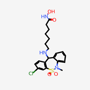 CN1c2ccccc2C(NCCCCCCC(=O)NO)c2ccc(Cl)cc2S1(=O)=O